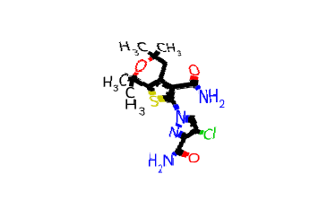 CC1(C)Cc2c(sc(-n3cc(Cl)c(C(N)=O)n3)c2C(N)=O)C(C)(C)O1